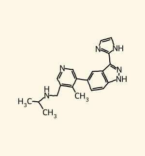 Cc1c(CNC(C)C)cncc1-c1ccc2[nH]nc(-c3ncc[nH]3)c2c1